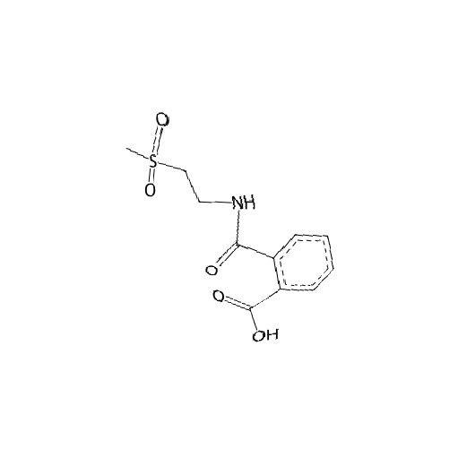 CS(=O)(=O)CCNC(=O)c1ccccc1C(=O)O